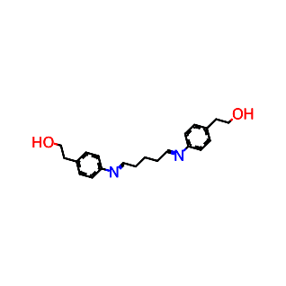 OCCc1ccc(/N=C/CCC/C=N/c2ccc(CCO)cc2)cc1